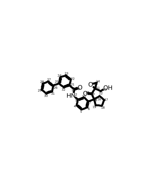 O=C(Nc1cccc(C2(C(=O)C3(CO)CO3)CCCC2)c1)c1cccc(-c2ccccc2)c1